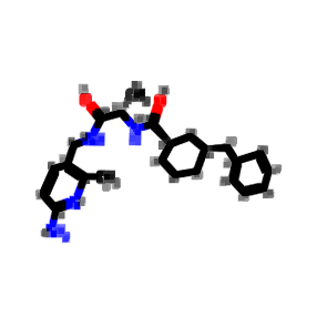 Cc1nc(N)ccc1CNC(=O)[C@H](C)NC(=O)[C@@H]1CCC[C@H](Cc2ccccc2)C1